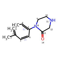 C=C(C)/C=C\C(=C/C)N1CCNCC1=O